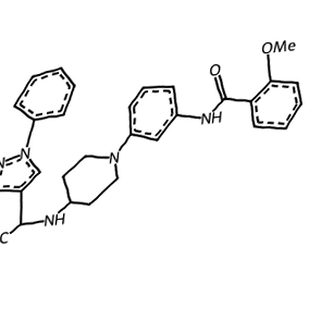 COc1ccccc1C(=O)Nc1cccc(N2CCC(NC(C)c3cnn(-c4ccccc4)c3)CC2)c1